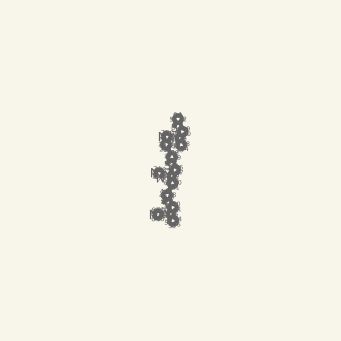 c1ccc2c(c1)sc1c2ccc2c3ccccc3n(-c3ccnc4ccc(-c5ccc6c(c5)sc5c6ccc6c7ccc(-c8ccc9sc%10c(ccc%11c%12ccccc%12n(-c%12ccncc%12)c%11%10)c9c8)cc7n(-c7ccncn7)c65)cc34)c21